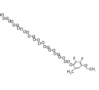 CCOc1cc(C)c(OOOOOOOOOOOOOOOOOOOOOOOOOOOO)c(F)c1F